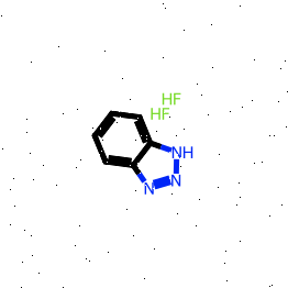 F.F.c1ccc2[nH]nnc2c1